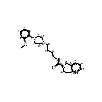 COc1ccccc1N1CCN(CCCCNC(=O)N2CCc3ncccc3C2)CC1